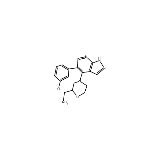 NCC1CN(c2c(-c3cccc(Cl)c3)cnc3[nH]ncc23)CCO1